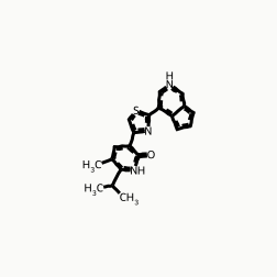 Cc1cc(-c2csc(-c3c[nH]cc4cccc3-4)n2)c(=O)[nH]c1C(C)C